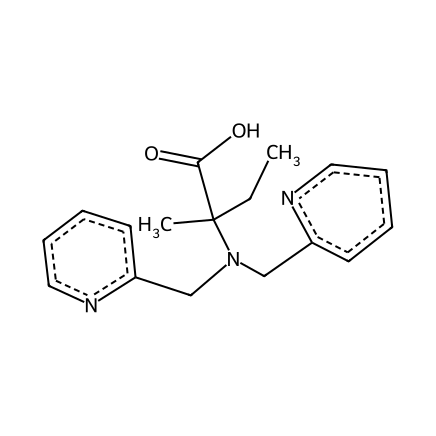 CCC(C)(C(=O)O)N(Cc1ccccn1)Cc1ccccn1